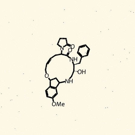 COc1ccc2c(c1)C1CC2OCC=CCC(N2CCCC2=O)C(=O)N[C@@H](Cc2ccccc2)[C@H](O)CN1